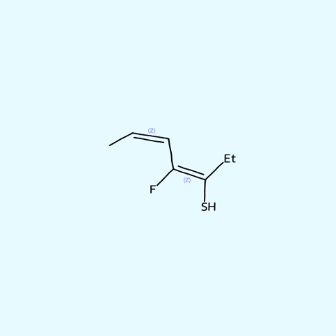 C/C=C\C(F)=C(\S)CC